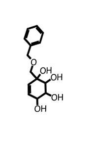 OC1C=CC(O)(COCc2ccccc2)C(O)C1O